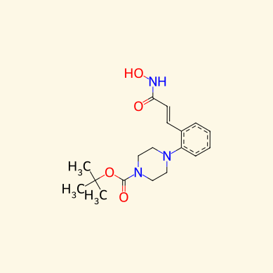 CC(C)(C)OC(=O)N1CCN(c2ccccc2/C=C/C(=O)NO)CC1